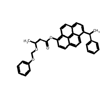 CC(CC(=O)Oc1ccc2ccc3c(C(C)c4ccccc4)ccc4ccc1c2c43)OCOc1ccccc1